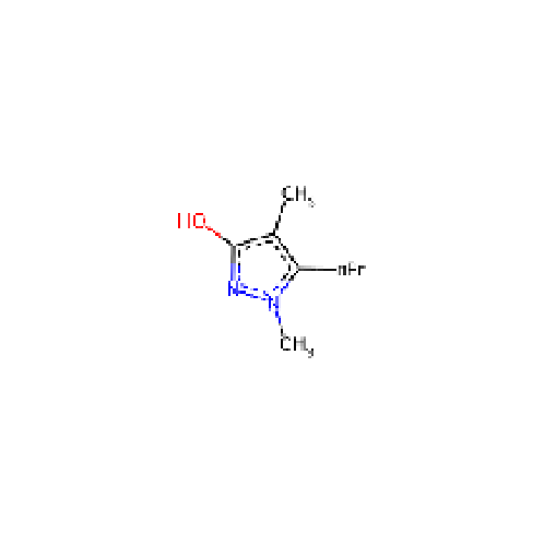 CCCc1c(C)c(O)nn1C